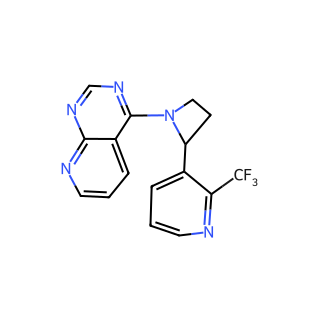 FC(F)(F)c1ncccc1C1CCN1c1ncnc2ncccc12